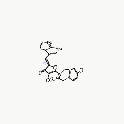 O=C(O)C1=C(N2CCc3ccc(Cl)cc3C2)O/C(=C\c2c[nH]c3ncccc23)C1=O